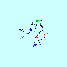 C[C@H](N)Cn1ncc2ccc3c(c21)OC(CN)CO3.Cl